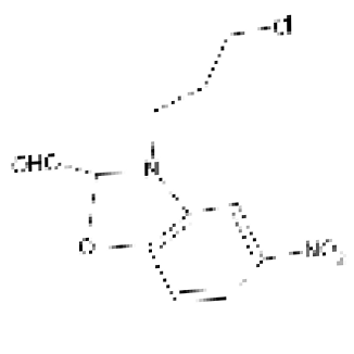 O=CC1Oc2ccc([N+](=O)[O-])cc2N1CCCCl